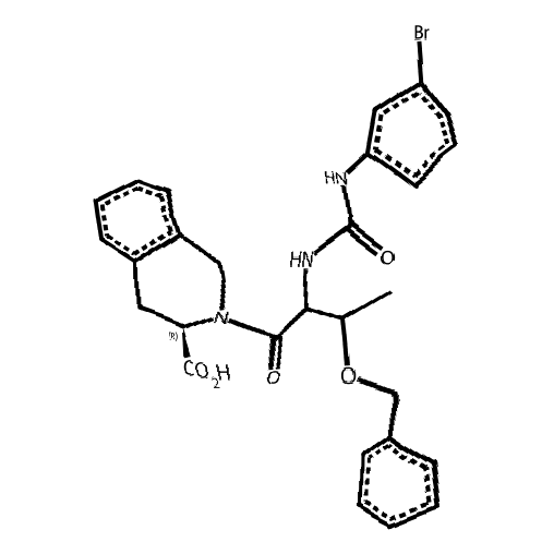 CC(OCc1ccccc1)C(NC(=O)Nc1cccc(Br)c1)C(=O)N1Cc2ccccc2C[C@@H]1C(=O)O